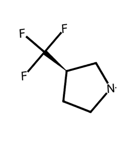 FC(F)(F)[C@@H]1CC[N]C1